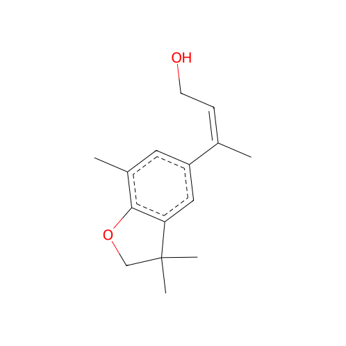 C/C(=C/CO)c1cc(C)c2c(c1)C(C)(C)CO2